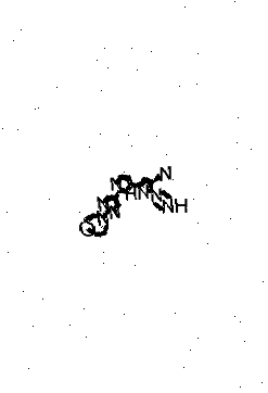 N#Cc1cc(-c2ccnc(-c3cnc(N4CCCOCC4)nc3)c2)[nH]c1N1CCNCC1